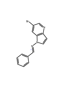 Brc1cnc2ccn(/N=C/c3ccccc3)c2c1